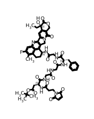 CC[C@@]1(O)C(=O)OCc2c1cc1n(c2=O)Cc2c-1nc1cc(F)c(C)c3c1c2[C@@H](NC(=O)CNC(=O)[C@H](Cc1ccccc1)NC(=O)CNC(=O)CNC(=O)[C@H](CC(=O)OC(C)(C)C)NC(=O)CCN1C(=O)C=CC1=O)CC3